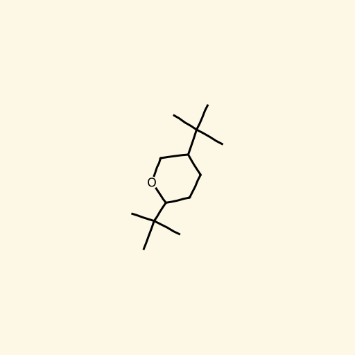 CC(C)(C)C1CCC(C(C)(C)C)OC1